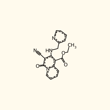 CCOC(=O)c1c(NCc2ccccn2)c(C#N)c(=O)n2ccccc12